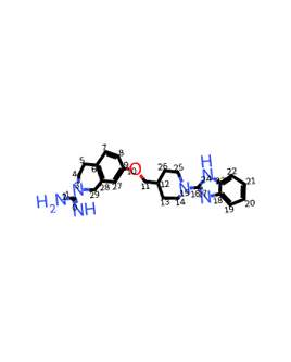 N=C(N)N1CCc2ccc(OCC3CCN(c4nc5ccccc5[nH]4)CC3)cc2C1